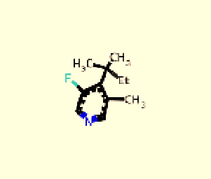 CCC(C)(C)c1c(C)cncc1F